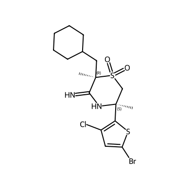 C[C@@]1(c2sc(Br)cc2Cl)CS(=O)(=O)[C@](C)(CC2CCCCC2)C(=N)N1